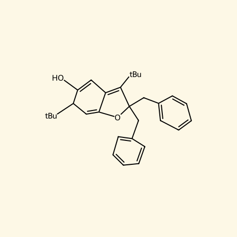 CC(C)(C)C1=C2C=C(O)C(C(C)(C)C)C=C2OC1(Cc1ccccc1)Cc1ccccc1